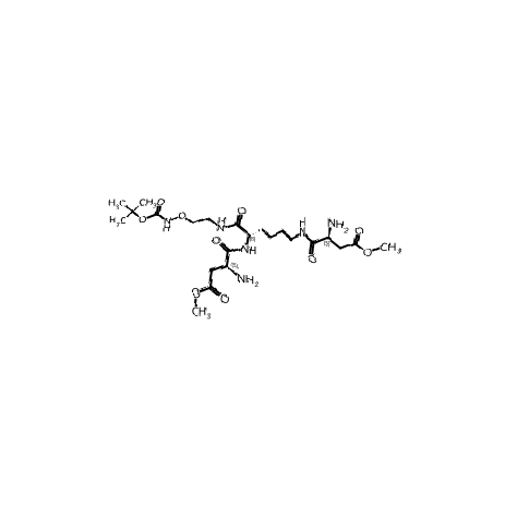 COC(=O)C[C@H](N)C(=O)NCCCC[C@H](NC(=O)[C@@H](N)CC(=O)OC)C(=O)NCCONC(=O)OC(C)(C)C